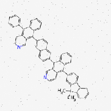 CC1(C)c2ccccc2-c2ccc(-c3c4ccccc4c(-c4ccc5cc(-c6c7ccccc7c(-c7ccccc7)c7ccncc67)ccc5c4)c4cnccc34)cc21